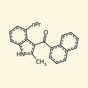 CCCc1cccc2[nH]c(C)c(C(=O)c3cccc4ccccc34)c12